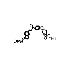 CON=C1CCc2cc(C=CC(=O)c3ccc(OC4CCN(C(=O)OC(C)(C)C)CC4)cc3)ccc21